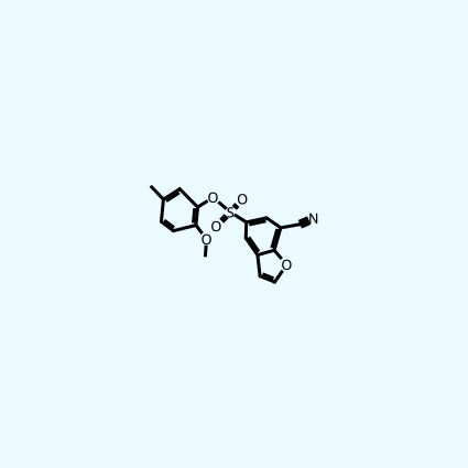 COc1ccc(C)cc1OS(=O)(=O)c1cc(C#N)c2occc2c1